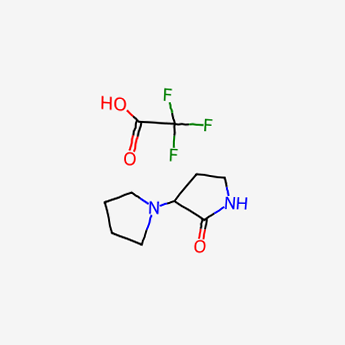 O=C(O)C(F)(F)F.O=C1NCCC1N1CCCC1